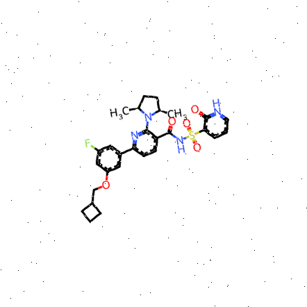 C[C@@H]1CC[C@H](C)N1c1nc(-c2cc(F)cc(OCC3CCC3)c2)ccc1C(=O)NS(=O)(=O)c1ccc[nH]c1=O